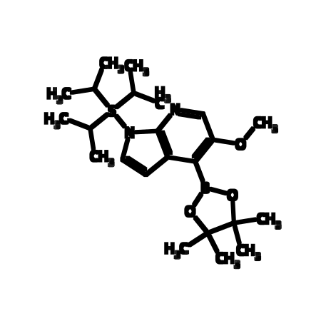 COc1cnc2c(ccn2S(C(C)C)(C(C)C)C(C)C)c1B1OC(C)(C)C(C)(C)O1